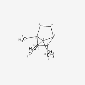 CC1C(=O)C2(C)CCC1C2(C)C